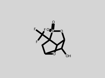 O=S1(=O)OC2C(O)C3CC1(C(F)(F)F)C2O3